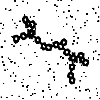 c1ccc(-c2ccc(-c3nc(-c4ccc(-c5ccc6ccc(-c7ccc8c(c7)cc(-c7ccc(-c9nc(-c%10ccc(-c%11ccc%12ccccc%12c%11)cc%10)nc(-c%10cccc%11c%10sc%10ccccc%10%11)n9)cc7)c7ccccc78)cc6c5)cc4)nc(-c4cccc5c4sc4ccccc45)n3)cc2)cc1